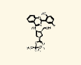 CC(C)(C)OC(=O)N1C[C@H](CO)[C@@H](Nc2nc(-c3cc(F)ccc3O)nc3ccccc23)C1